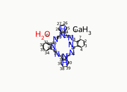 O.[GaH3].c1ccc2c(c1)-c1nc-2nc2[nH]c(nc3nc(nc4[nH]c(n1)c1ccccc41)-c1ccccc1-3)c1ccccc21